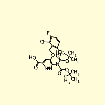 CC(C)(C)OC(=O)N(C(=O)OC(C)(C)C)c1nnc(C(=O)O)cc1OCc1c(Cl)ccc(F)c1Cl